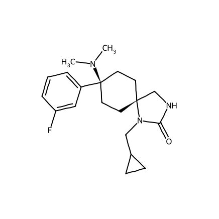 CN(C)[C@]1(c2cccc(F)c2)CC[C@@]2(CC1)CNC(=O)N2CC1CC1